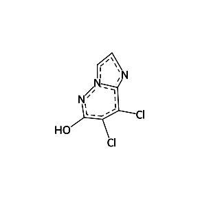 Oc1nn2ccnc2c(Cl)c1Cl